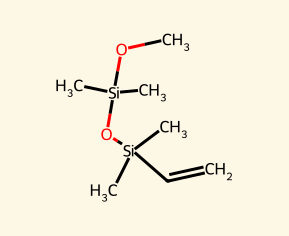 C=C[Si](C)(C)O[Si](C)(C)OC